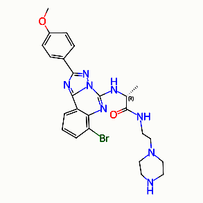 COc1ccc(-c2nc3c4cccc(Br)c4nc(N[C@H](C)C(=O)NCCN4CCNCC4)n3n2)cc1